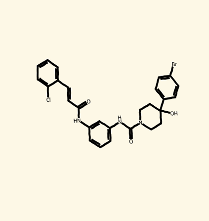 O=C(/C=C/c1ccccc1Cl)Nc1cccc(NC(=O)N2CCC(O)(c3ccc(Br)cc3)CC2)c1